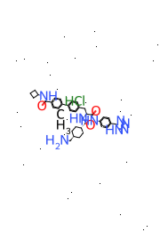 Cc1cc(C(=O)NC2CCC2)ccc1-c1ccc(C[C@H](NC(=O)[C@H]2CC[C@H](CN)CC2)C(=O)Nc2ccc(-c3nnn[nH]3)cc2)cc1.Cl